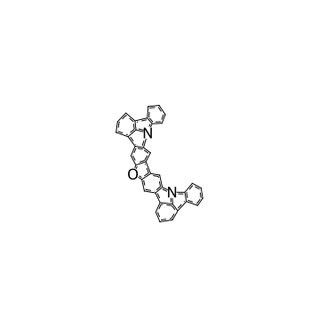 c1ccc2c(c1)c1cccc3c4cc5oc6cc7c8cccc9c%10ccccc%10n(c7cc6c5cc4n2c13)c98